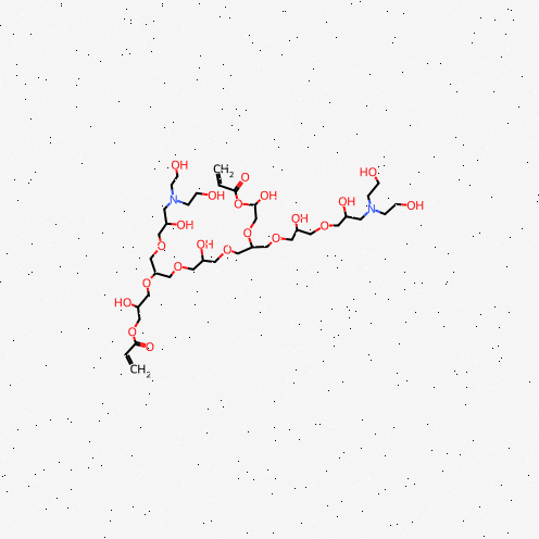 C=CC(=O)OCC(O)COC(COCC(O)COCC(COCC(O)COCC(O)CN(CCO)CCO)OCC(O)OC(=O)C=C)COCC(O)CN(CCO)CCO